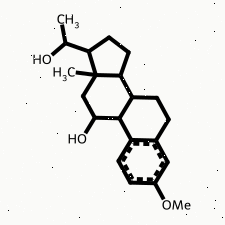 COc1ccc2c(c1)CCC1C2C(O)CC2(C)C(C(C)O)CCC12